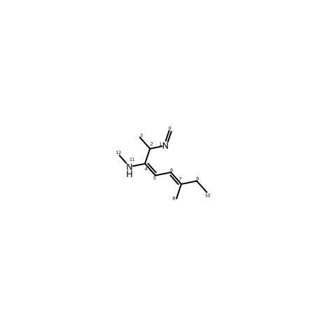 C=NC(C)/C(=C\C=C(/C)CC)NC